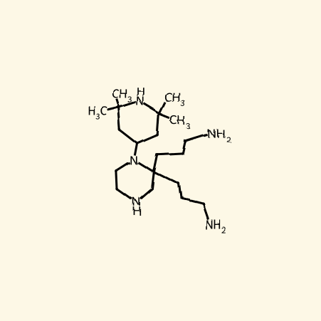 CC1(C)CC(N2CCNCC2(CCCN)CCCN)CC(C)(C)N1